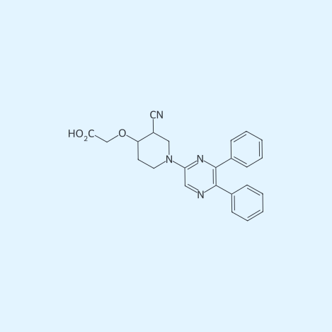 N#CC1CN(c2cnc(-c3ccccc3)c(-c3ccccc3)n2)CCC1OCC(=O)O